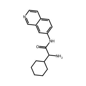 NC(C(=O)Nc1ccc2ccncc2c1)C1CCCCC1